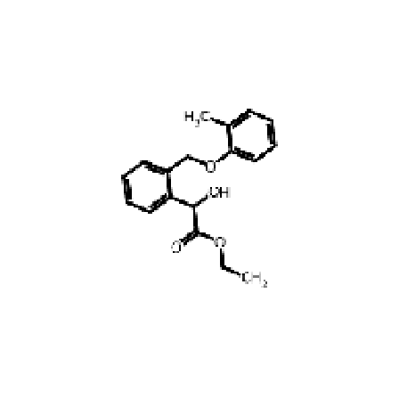 CCOC(=O)C(O)c1ccccc1COc1ccccc1C